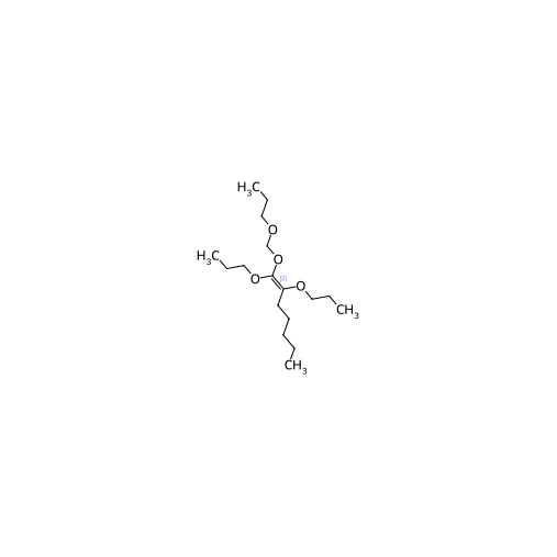 CCCCC/C(OCCC)=C(\OCCC)OCOCCC